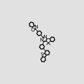 CC1(C)c2ccccc2-c2nc(-c3ccc(-c4nc5ccccc5o4)cc3)nc(-c3cccc(-c4cccc5c4sc4ccccc45)c3)c21